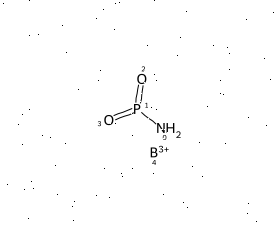 NP(=O)=O.[B+3]